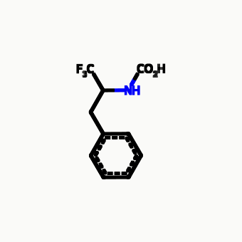 O=C(O)NC(Cc1ccccc1)C(F)(F)F